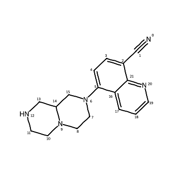 N#Cc1ccc(N2CCN3CCNCC3C2)c2cccnc12